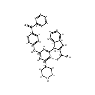 O=C(c1ccccc1)c1ccc(Oc2nc(N3CCOCC3)nc(-n3c(C(F)F)nc4ccccc43)n2)cc1